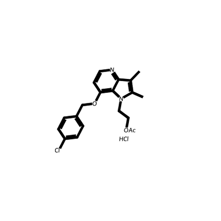 CC(=O)OCCn1c(C)c(C)c2nccc(OCc3ccc(Cl)cc3)c21.Cl